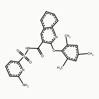 Cc1cc(C)c(Oc2nc3ccccc3cc2C(=O)NS(=O)(=O)c2cccc(N)n2)c(C)c1